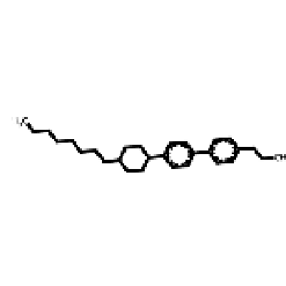 CCCCCCCCC1CCC(c2ccc(-c3ccc(CCC)cc3)cc2)CC1